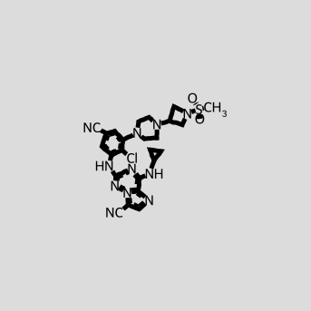 CS(=O)(=O)N1CC(N2CCN(c3cc(C#N)cc(Nc4nc(NC5CC5)c5ncc(C#N)n5n4)c3Cl)CC2)C1